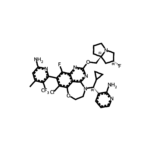 Cc1cc(N)nc(-c2c(Cl)c3c4c(nc(OC[C@@]56CCCN5C[C@H](F)C6)nc4c2F)N([C@@H](c2cccnc2N)C2CC2)CCO3)c1C(F)(F)F